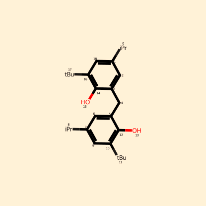 CC(C)c1cc(Cc2cc(C(C)C)cc(C(C)(C)C)c2O)c(O)c(C(C)(C)C)c1